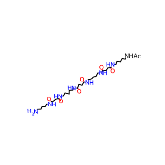 CC(=O)NCCCCCNC(=O)CCC(=O)NCCCCCNC(=O)CCC(=O)NCCCCCNC(=O)CCC(=O)NCCCCCN